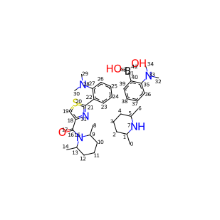 CC1CCCC(C)N1.CC1CCCC(C)N1C(=O)c1csc(-c2ccccc2N(C)C)n1.CN(C)c1ccccc1B(O)O